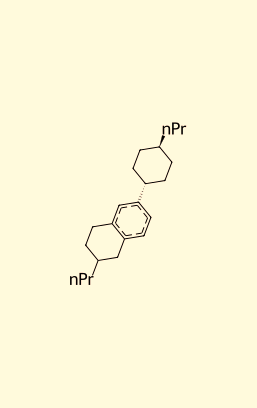 CCCC1CCc2cc([C@H]3CC[C@H](CCC)CC3)ccc2C1